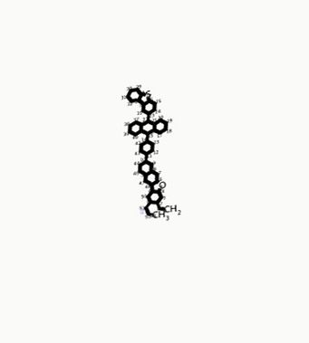 C=Cc1cc2oc3cc4cc(-c5ccc(-c6c7ccccc7c(-c7ccc8sc9ccccc9c8c7)c7ccccc67)cc5)ccc4cc3c2cc1/C=C\C